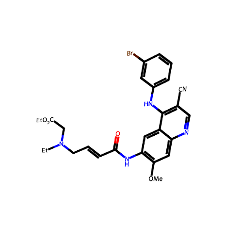 CCOC(=O)CN(CC)CC=CC(=O)Nc1cc2c(Nc3cccc(Br)c3)c(C#N)cnc2cc1OC